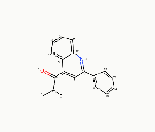 CC(C)C(=O)c1cc(-c2ccccc2)nc2ccccc12